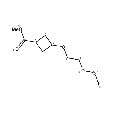 COC(=O)C1CC(OCCOSI)C1